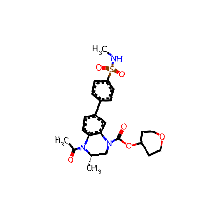 CNS(=O)(=O)c1ccc(-c2ccc3c(c2)N(C(=O)OC2CCOCC2)C[C@H](C)N3C(C)=O)cc1